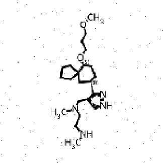 CNCCN(C)Cc1c[nH]nc1[C@@H]1CC[C@H](OCCCOC)C2(CCCC2)C1